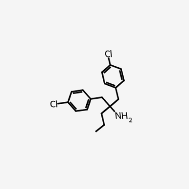 CCCC(N)(Cc1ccc(Cl)cc1)Cc1ccc(Cl)cc1